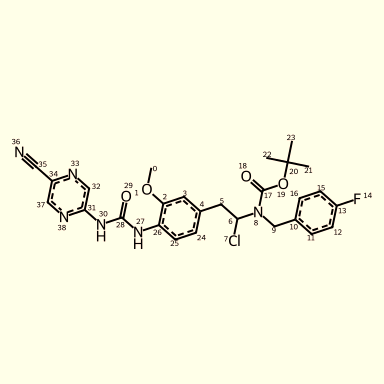 COc1cc(CC(Cl)N(Cc2ccc(F)cc2)C(=O)OC(C)(C)C)ccc1NC(=O)Nc1cnc(C#N)cn1